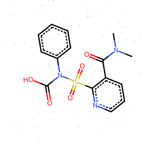 CN(C)C(=O)c1cccnc1S(=O)(=O)N(C(=O)O)c1ccccc1